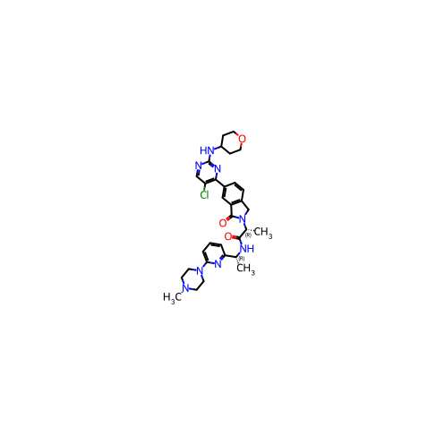 C[C@H](C(=O)N[C@H](C)c1cccc(N2CCN(C)CC2)n1)N1Cc2ccc(-c3nc(NC4CCOCC4)ncc3Cl)cc2C1=O